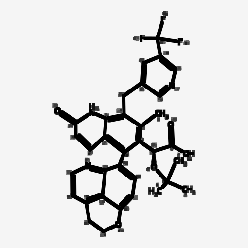 Cc1c([C@H](OC(C)(C)C)C(=O)O)c(-c2ccc3c4c(ccnc24)CCO3)c2ccc(=O)[nH]c2c1Cc1cncc(C(F)(F)F)c1